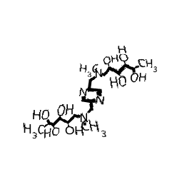 C[C@@H](O)[C@@H](O)[C@H](O)[C@@H](O)CN(C)Cc1cnc(CN(C)C[C@H](O)[C@@H](O)[C@H](O)[C@@H](C)O)cn1